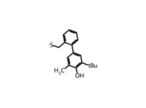 Cc1cc(-c2ccccc2C[S])cc(C(C)(C)C)c1O